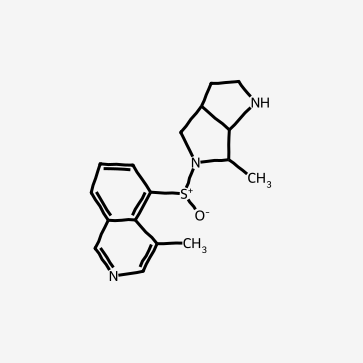 Cc1cncc2cccc([S+]([O-])N3CC4CCNC4C3C)c12